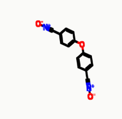 [O-][N+]#Cc1ccc(Oc2ccc(C#[N+][O-])cc2)cc1